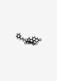 CC12CCC(=O)C=C1CCC1C2[C@@H](O)CC2(C)C1CC[C@]2(O)C(=O)CSCCc1ccccc1